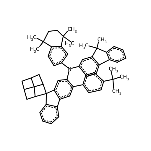 CC(C)(C)c1ccc(-c2cc3c(cc2N(c2ccc4c(c2)C(C)(C)CCC4(C)C)c2ccc4c(c2)C(C)(C)c2ccccc2-4)C2(c4ccccc4-3)C3CC4CC5CC2C453)cc1